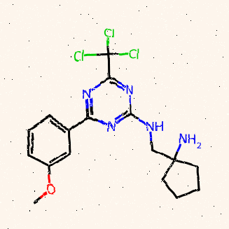 COc1cccc(-c2nc(NCC3(N)CCCC3)nc(C(Cl)(Cl)Cl)n2)c1